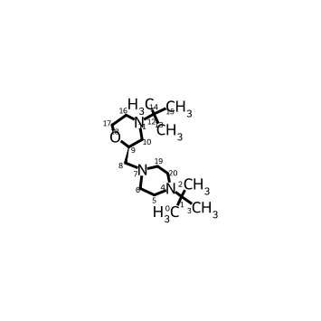 CC(C)(C)N1CCN(C[C@@H]2CN(C(C)(C)C)CCO2)CC1